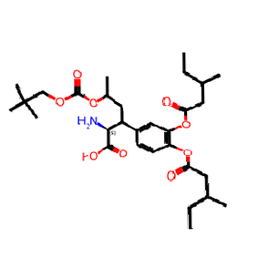 CCC(C)CC(=O)Oc1ccc(C(CC(C)OC(=O)OCC(C)(C)C)[C@H](N)C(=O)O)cc1OC(=O)CC(C)CC